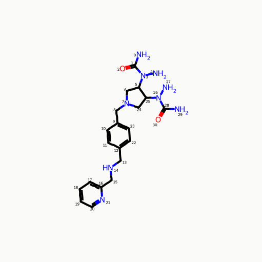 NC(=O)N(N)C1CN(Cc2ccc(CNCc3ccccn3)cc2)CC1N(N)C(N)=O